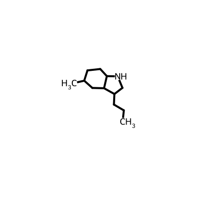 CCCC1CNC2CCC(C)CC12